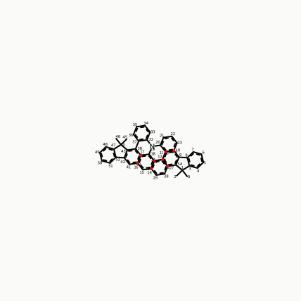 CC1(C)c2ccccc2-c2ccc(-c3ccccc3N(c3ccccc3-c3ccccc3)c3ccccc3-c3cccc4c3C(C)(C)c3ccccc3-4)cc21